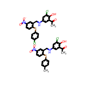 CC(=O)c1cc(NCc2cc([N+](=O)[O-])ccc2Sc2ccc(C)cc2)cc(Cl)c1O.CC(=O)c1cc(NCc2cc([N+](=O)[O-])ccc2Sc2ccc(Cl)cc2)cc(Cl)c1O